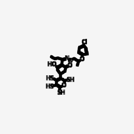 CCCC(=NOCC(C)Oc1ccc(Cl)cc1)C1=C(O)CC(C2=C(S)C(S)=C(S)OC2S)CC1=O